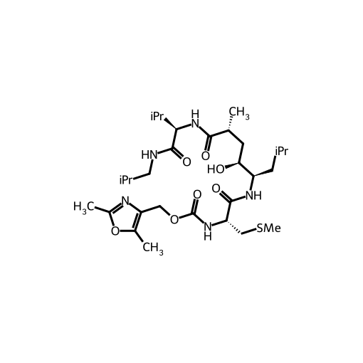 CSC[C@H](NC(=O)OCc1nc(C)oc1C)C(=O)N[C@H](CC(C)C)[C@@H](O)C[C@@H](C)C(=O)N[C@@H](C(=O)NCC(C)C)C(C)C